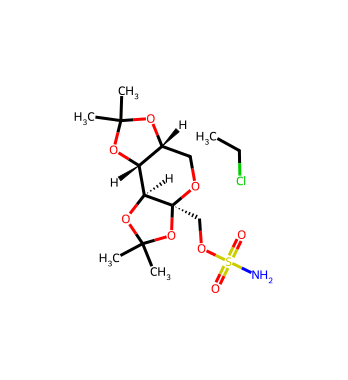 CC1(C)O[C@@H]2[C@@H](CO[C@@]3(COS(N)(=O)=O)OC(C)(C)O[C@@H]23)O1.CCCl